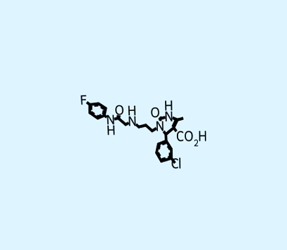 CC1=C(C(=O)O)C(c2cccc(Cl)c2)N(CCCNCC(=O)Nc2ccc(F)cc2)C(=O)N1